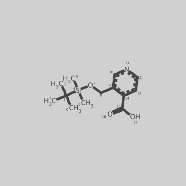 CC(C)(C)[Si](C)(C)OCc1cnccc1C(=O)O